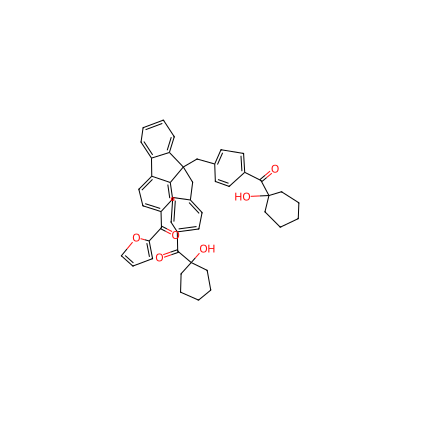 O=C(c1ccc2c(c1)C(Cc1ccc(C(=O)C3(O)CCCCC3)cc1)(Cc1ccc(C(=O)C3(O)CCCCC3)cc1)c1ccccc1-2)c1ccco1